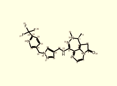 C[C@H]1C2=C3C(=NC=CN3C(=O)C2)C(NCc2cnn(Cc3ccc(C(F)(F)F)nc3)c2)=NN1C